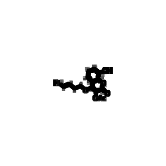 CC/C=C/CCOc1c(OC(C)=O)c(=O)oc2c(O)cccc12